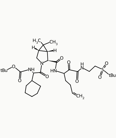 C=CCCC(NC(=O)[C@@H]1[C@@H]2[C@H](CN1C(=O)[C@@H](NC(=O)OC(C)(C)C)C1CCCCC1)C2(C)C)C(=O)C(=O)NCCS(=O)(=O)C(C)(C)C